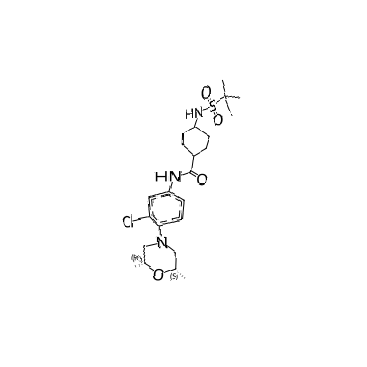 C[C@@H]1CN(c2ccc(NC(=O)C3CCC(NS(=O)(=O)C(C)(C)C)CC3)cc2Cl)C[C@H](C)O1